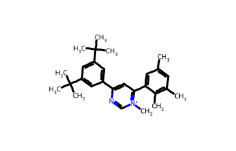 Cc1cc(C)c(C)c(-c2cc(-c3cc(C(C)(C)C)cc(C(C)(C)C)c3)nc[n+]2C)c1